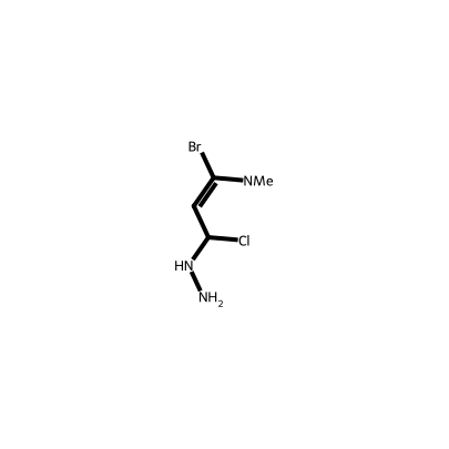 CN/C(Br)=C\C(Cl)NN